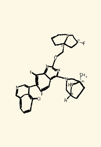 C[C@@]12CC[C@H](CN(c3nc(OC[C@@]45CCCN4C[C@H](F)C5)nc4c(F)c(-c5cncc6cccc(Cl)c56)c(F)cc34)C1)N2